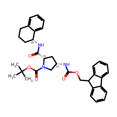 CC(C)(C)OC(=O)N1C[C@@H](NC(=O)OCC2c3ccccc3-c3ccccc32)C[C@H]1C(=O)N[C@@H]1CCCc2ccccc21